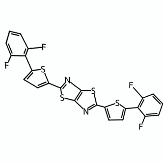 Fc1cccc(F)c1-c1ccc(-c2nc3sc(-c4ccc(-c5c(F)cccc5F)s4)nc3s2)s1